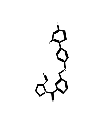 O=C[C@@H]1CCCN1C(=O)c1cccc(COc2ccc(-c3ccc(F)cc3F)cc2)c1